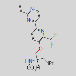 C=Cc1nccc(-c2ccc(OCC(C)(CC(C)C)NC(=O)O)c(C(F)F)n2)n1